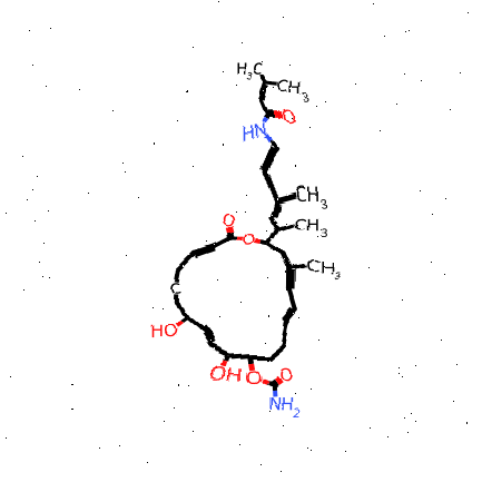 CC(C)=CC(=O)N/C=C/C(C)=C/C(C)C1C/C(C)=C/C=C/CCC(OC(N)=O)C(O)/C=C/C(O)CCC/C=C/C(=O)O1